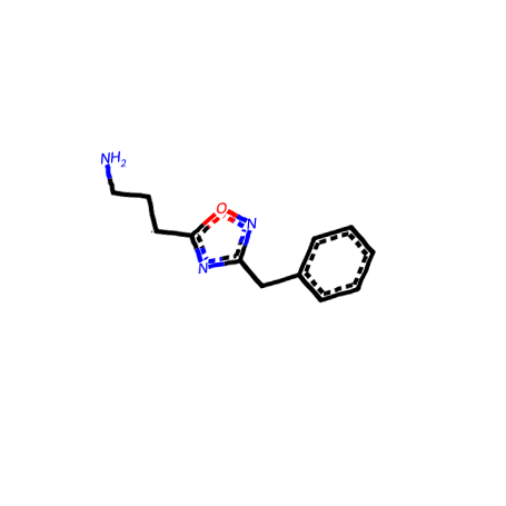 NCC[CH]c1nc(Cc2ccccc2)no1